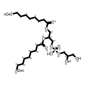 CCCCCCCCCCCCCCCCCC(=O)OCC(COP(=O)(O)OCC(O)CO)OC(=O)CCCCCCCCCCCCCCCCC